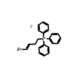 CC(C)C=CCC[P+](c1ccccc1)(c1ccccc1)c1ccccc1.[I-]